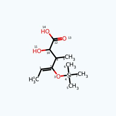 CC=C(O[Si](C)(C)C)C(C)C(O)C(=O)O